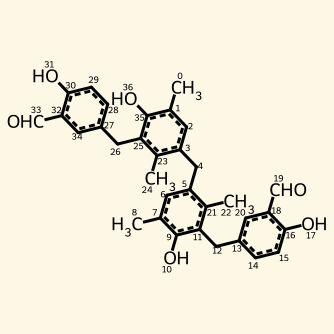 Cc1cc(Cc2cc(C)c(O)c(Cc3ccc(O)c(C=O)c3)c2C)c(C)c(Cc2ccc(O)c(C=O)c2)c1O